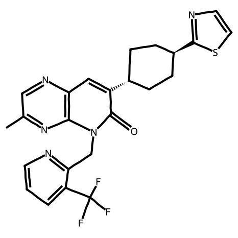 Cc1cnc2cc([C@H]3CC[C@H](c4nccs4)CC3)c(=O)n(Cc3ncccc3C(F)(F)F)c2n1